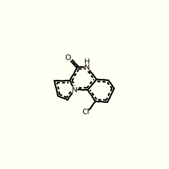 O=c1[nH]c2cccc(Cl)c2n2cccc12